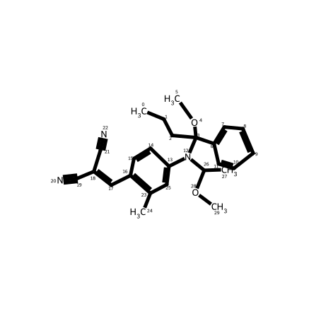 CCCC(OC)(c1ccccc1)N(c1ccc(C=C(C#N)C#N)c(C)c1)C(C)OC